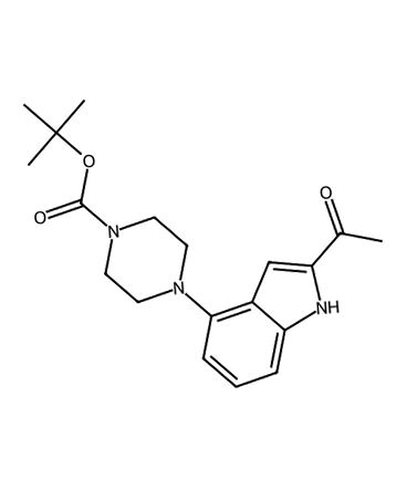 CC(=O)c1cc2c(N3CCN(C(=O)OC(C)(C)C)CC3)cccc2[nH]1